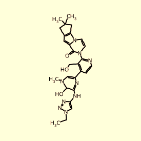 CCn1cc(NC2=NC(c3ccnc(-n4ccn5c6c(cc5c4=O)CC(C)(C)C6)c3CO)=CN(C)C2O)nn1